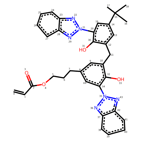 C=CC(=O)OCCCc1cc(Cc2cc(C(C)(C)C)cc(-n3nc4ccccc4n3)c2O)c(O)c(-n2nc3ccccc3n2)c1